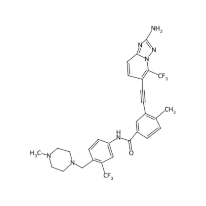 Cc1ccc(C(=O)Nc2ccc(CN3CCN(C)CC3)c(C(F)(F)F)c2)cc1C#Cc1ccc2nc(N)nn2c1C(F)(F)F